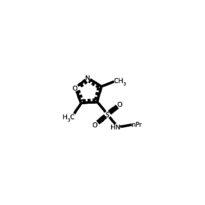 CCCNS(=O)(=O)c1c(C)noc1C